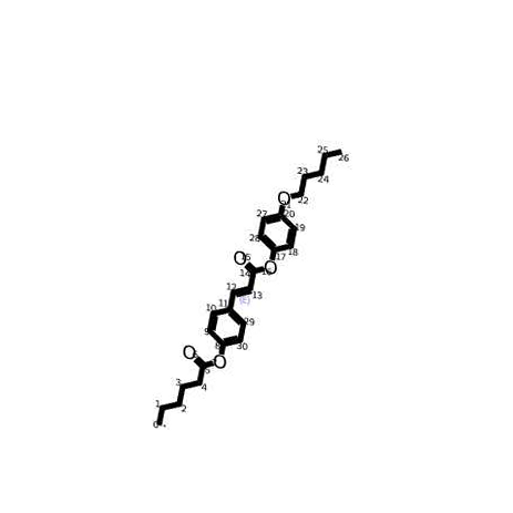 [CH2]CCCCC(=O)Oc1ccc(/C=C/C(=O)Oc2ccc(OCCCCC)cc2)cc1